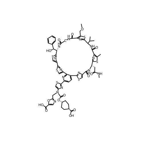 CNC(=O)C[C@@H]1NC(=O)c2csc(n2)-c2ccc(-c3nc(N(Cc4ncc(C(=O)O)o4)C(=O)O[C@H]4CC[C@H](C(=O)O)CC4)cs3)nc2-c2csc(n2)-c2csc(n2)[C@H]([C@@H](O)c2ccccc2)NC(=O)CNC(=O)c2nc(sc2COC)C(C(C)C)NC(=O)c2nc1sc2C